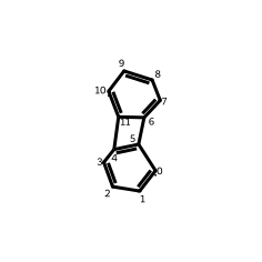 [c]1cccc2c1-c1ccc[c]c1-2